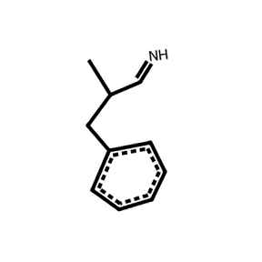 CC(C=N)Cc1ccccc1